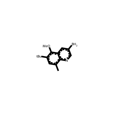 Bc1cnc2c(C)cc(C(C)(C)C)c(OC)c2c1